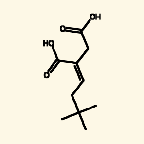 CC(C)(C)CC=C(CC(=O)O)C(=O)O